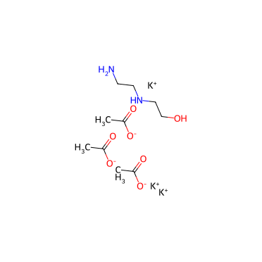 CC(=O)[O-].CC(=O)[O-].CC(=O)[O-].NCCNCCO.[K+].[K+].[K+]